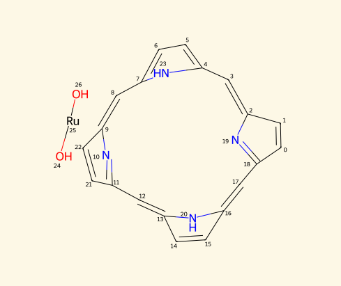 C1=Cc2cc3ccc(cc4nc(cc5ccc(cc1n2)[nH]5)C=C4)[nH]3.[OH][Ru][OH]